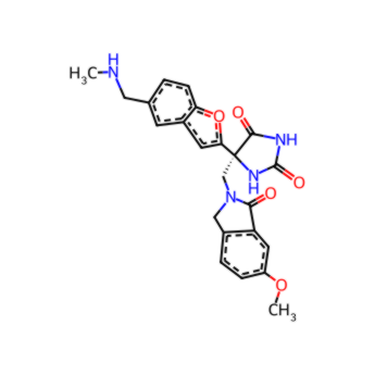 CNCc1ccc2oc([C@]3(CN4Cc5ccc(OC)cc5C4=O)NC(=O)NC3=O)cc2c1